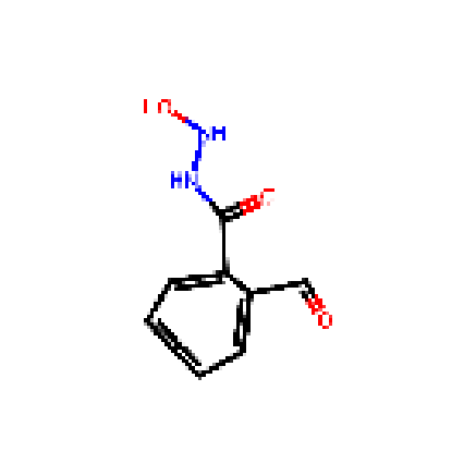 O=Cc1ccccc1C(=O)NNO